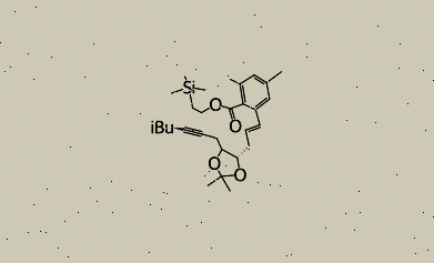 CC[C@H](C)C#CCC1OC(C)(C)O[C@H]1C/C=C/c1cc(C)cc(C)c1C(=O)OCC[Si](C)(C)C